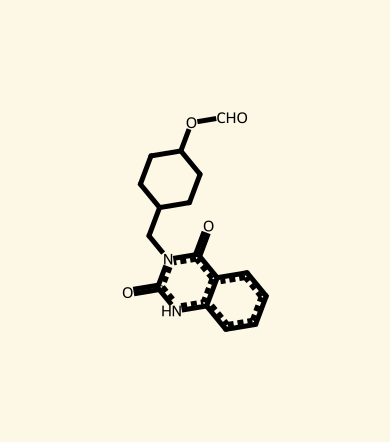 O=COC1CCC(Cn2c(=O)[nH]c3ccccc3c2=O)CC1